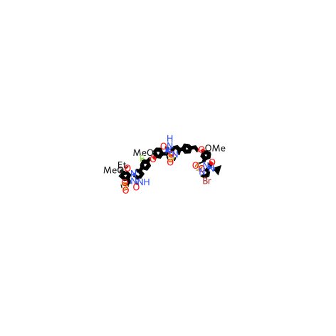 CCOc1cc([C@H](CS(C)(=O)=O)n2c(=O)[nH]c3cc(-c4ccc(COc5cc([C@H](CS(C)(=O)=O)n6c(=O)[nH]c7cc(-c8ccc(CCOc9cc([C@H](CS(C)(=O)=O)n%10c(=O)n(C%11CC%11)c%11cc(Br)cnc%11%10)ccc9OC)cc8)cnc76)ccc5OC)c(F)c4)cnc32)ccc1OC